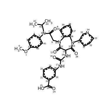 COc1ccc(N(C(=O)CN2C(=O)C(NC(=O)Nc3cccc(C(=O)O)c3)C(=O)N(c3cccnc3)c3ccccc32)C(C)C)cc1